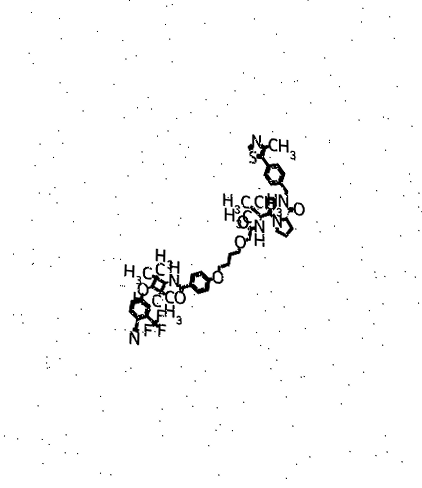 Cc1ncsc1-c1ccc(CNC(=O)[C@@H]2CCCN2C(=O)[C@@H](NC(=O)COCCCCOc2ccc(C(=O)N[C@H]3C(C)(C)[C@H](Oc4ccc(C#N)c(C(F)(F)F)c4)C3(C)C)cc2)C(C)(C)C)cc1